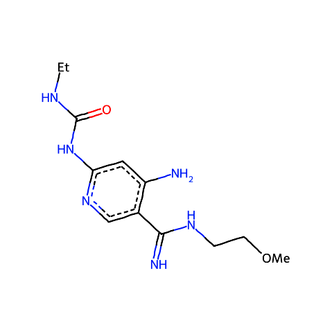 CCNC(=O)Nc1cc(N)c(C(=N)NCCOC)cn1